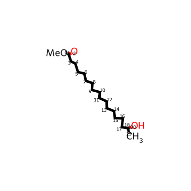 COC(=O)CCCCCCCCCCCCCCCC(C)O